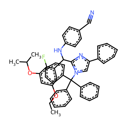 CCOc1cc(OC(C)C)c(F)c(C(Nc2ccc(C#N)cc2)c2nc(-c3ccccc3)cn2C(c2ccccc2)(c2ccccc2)c2ccccc2)c1